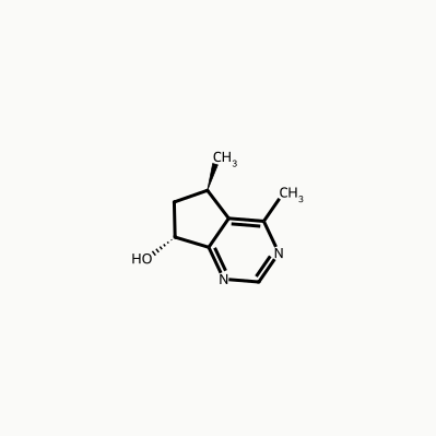 Cc1ncnc2c1[C@H](C)C[C@H]2O